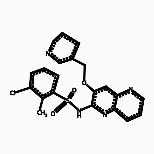 Cc1c(Cl)cccc1S(=O)(=O)Nc1nc2cccnc2cc1OCc1cccnc1